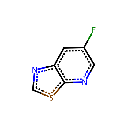 Fc1cnc2scnc2c1